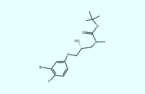 CN(C[C@@H](O)COc1ccc(F)c(Br)c1)C(=O)OC(C)(C)C